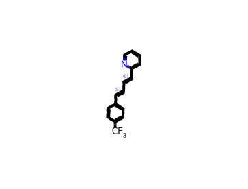 FC(F)(F)c1ccc(/C=C/C=C/c2ccccn2)cc1